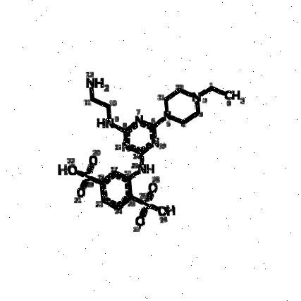 CCN1CCN(c2nc(NCCN)nc(Nc3cc(S(=O)(=O)O)ccc3S(=O)(=O)O)n2)CC1